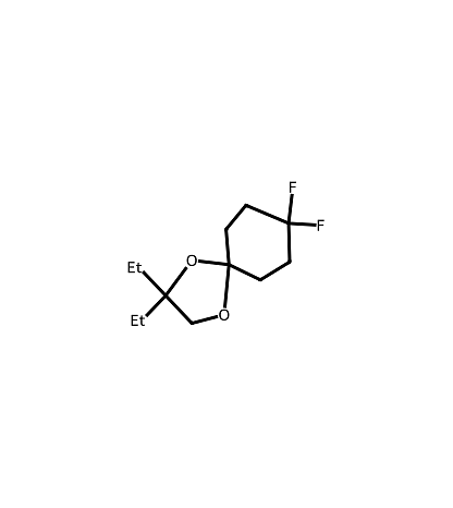 CCC1(CC)COC2(CCC(F)(F)CC2)O1